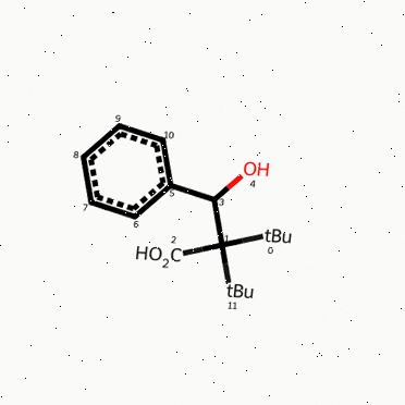 CC(C)(C)C(C(=O)O)(C(O)c1ccccc1)C(C)(C)C